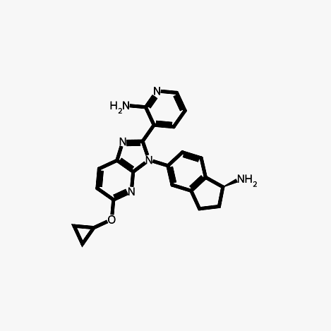 Nc1ncccc1-c1nc2ccc(OC3CC3)nc2n1-c1ccc2c(c1)CC[C@@H]2N